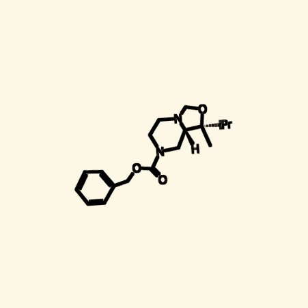 CC(C)[C@@]1(C)OCN2CCN(C(=O)OCc3ccccc3)C[C@H]21